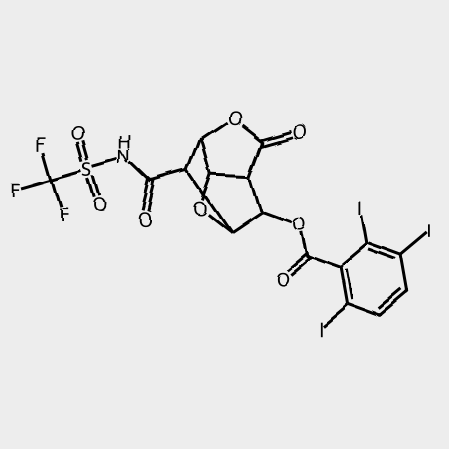 O=C(OC1C2OC3C(OC(=O)C13)C2C(=O)NS(=O)(=O)C(F)(F)F)c1c(I)ccc(I)c1I